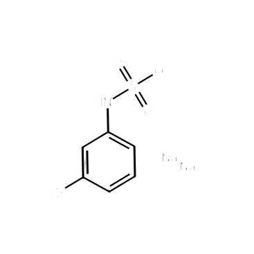 O=S(=O)([O-])Nc1cccc([O-])c1.[Na+].[Na+]